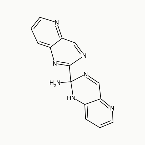 NC1(c2ncc3ncccc3n2)N=Cc2ncccc2N1